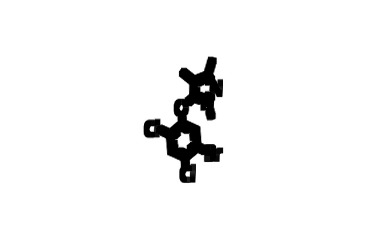 Cc1nn(C)c(Oc2cc(Br)c(Cl)cc2Cl)c1C